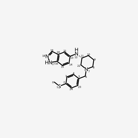 CSc1ccc(CN2CCC[C@@H](Nc3ccc4[nH]ncc4c3)C2)cc1